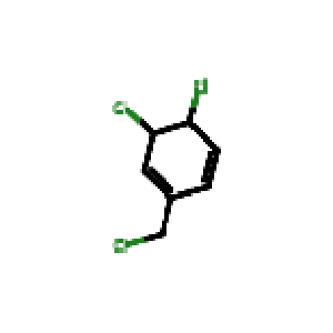 ClCC1=CC(Cl)[C](Cl)C=C1